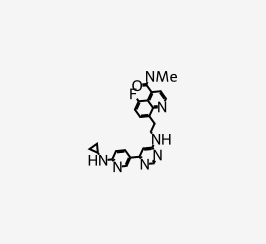 CNC(=O)c1ccnc2c(CCNc3cc(-c4ccc(NC5CC5)nc4)ncn3)ccc(F)c12